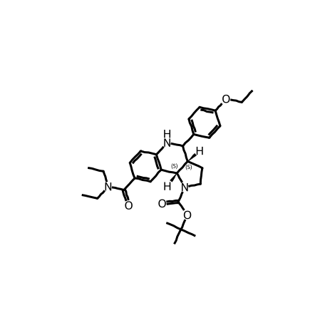 CCOc1ccc(C2Nc3ccc(C(=O)N(CC)CC)cc3[C@@H]3[C@H]2CCN3C(=O)OC(C)(C)C)cc1